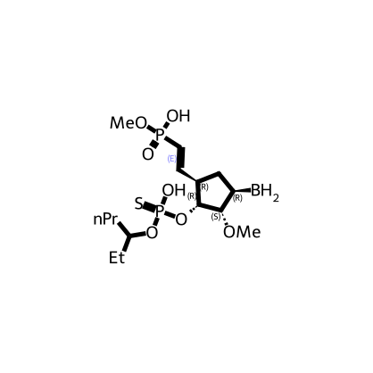 B[C@@H]1C[C@H](/C=C/P(=O)(O)OC)[C@@H](OP(O)(=S)OC(CC)CCC)[C@H]1OC